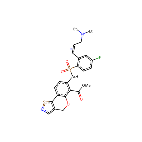 CCN(CC)C/C=C\c1cc(F)ccc1S(=O)(=O)[AsH]c1ccc2c(c1C(=O)OC)OCc1cnsc1-2